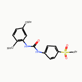 CCCS(=O)(=O)c1ccc(NC(=O)Nc2cc(OC)ccc2OC)cc1